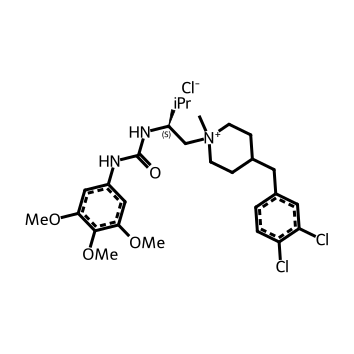 COc1cc(NC(=O)N[C@H](C[N+]2(C)CCC(Cc3ccc(Cl)c(Cl)c3)CC2)C(C)C)cc(OC)c1OC.[Cl-]